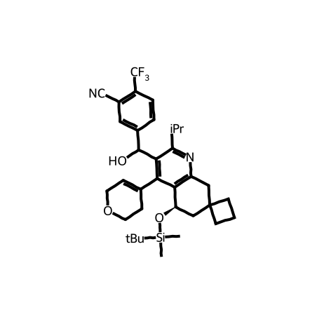 CC(C)c1nc2c(c(C3=CCOCC3)c1C(O)c1ccc(C(F)(F)F)c(C#N)c1)[C@H](O[Si](C)(C)C(C)(C)C)CC1(CCC1)C2